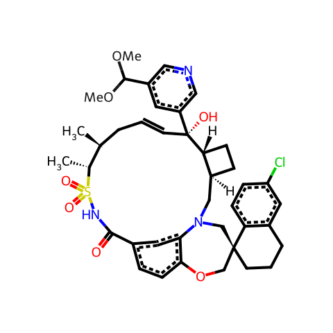 COC(OC)c1cncc([C@]2(O)/C=C/C[C@H](C)[C@@H](C)S(=O)(=O)NC(=O)c3ccc4c(c3)N(C[C@@H]3CC[C@H]32)C[C@@]2(CCCc3cc(Cl)ccc32)CO4)c1